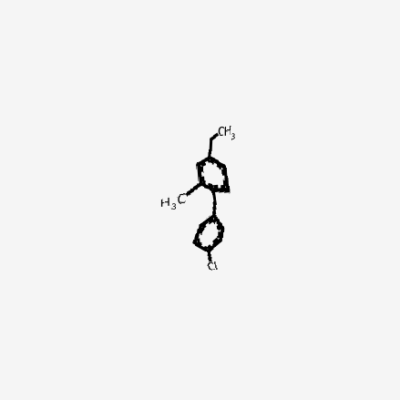 CCc1ccc(-c2ccc(Cl)cc2)c(C)c1